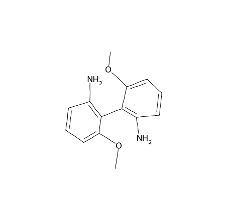 COc1cccc(N)c1-c1c(N)cccc1OC